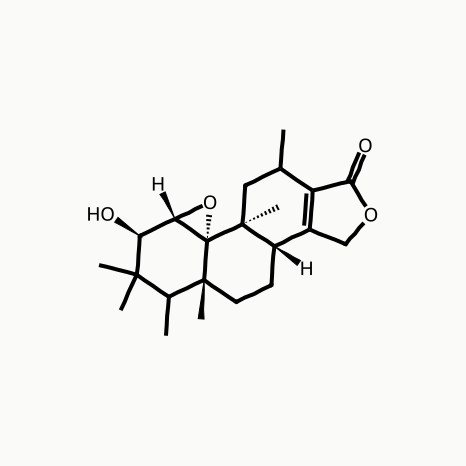 CC1C[C@@]2(C)[C@@H](CC[C@]3(C)C(C)C(C)(C)[C@@H](O)[C@@H]4O[C@]423)C2=C1C(=O)OC2